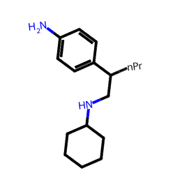 CCCC(CNC1CCCCC1)c1ccc(N)cc1